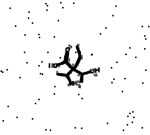 CCC(C(=O)O)(C(C)N)C(C)O